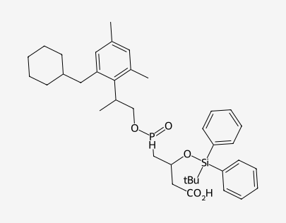 Cc1cc(C)c(C(C)CO[PH](=O)CC(CC(=O)O)O[Si](c2ccccc2)(c2ccccc2)C(C)(C)C)c(CC2CCCCC2)c1